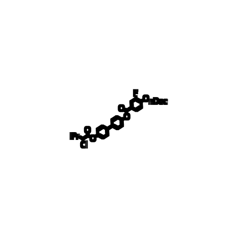 CCCCCCCCCCOc1ccc(C(=O)Oc2ccc(-c3ccc(OC(=O)C(Cl)C(C)C)cc3)cc2)cc1F